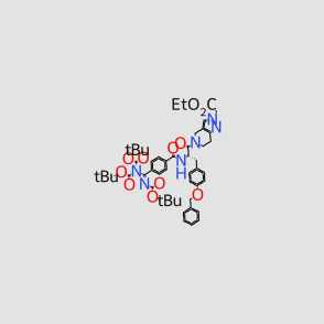 CCOC(=O)Cn1cc2c(n1)CCN(C(=O)[C@H](Cc1ccc(OCc3ccccc3)cc1)NC(=O)c1ccc(C(=NC(=O)OC(C)(C)C)N(C(=O)OC(C)(C)C)C(=O)OC(C)(C)C)cc1)C2